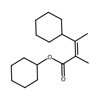 CC(C(=O)OC1CCCCC1)=C(C)C1CCCCC1